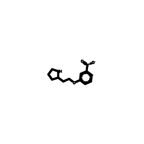 O=[N+]([O-])c1[c]ccc(OCCC2CCCN2)c1